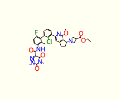 CCOC(=O)C1CN(C2CCc3cc(-c4cccc(-c5c(F)ccc(NC(=O)c6nn(C)c(=O)n(C)c6=O)c5C)c4Cl)nc(OC)c32)C1